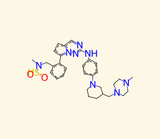 CN1CCN(CC2CCCN(c3ccc(Nc4ncc5ccc(-c6ccccc6CN(C)[SH](=O)=O)n5n4)cc3)C2)CC1